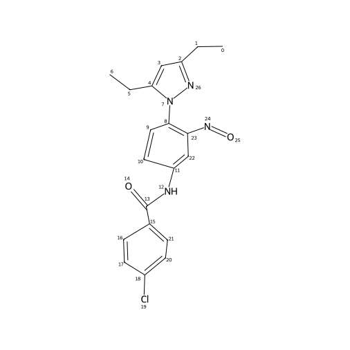 CCc1cc(CC)n(-c2ccc(NC(=O)c3ccc(Cl)cc3)cc2N=O)n1